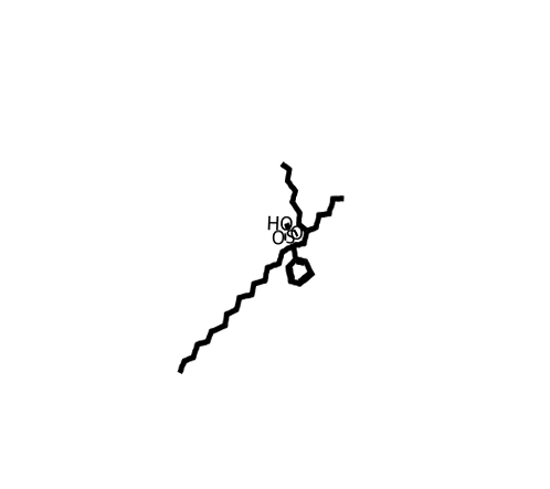 CCCCCCCCCCCCCCCCC(CC(CCCCC)CCCCCCC)(c1ccccc1)S(=O)(=O)O